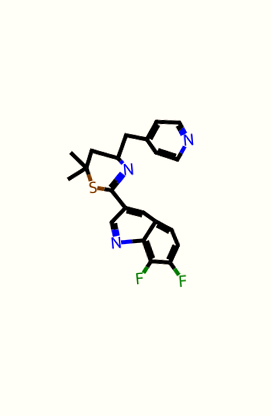 CC1(C)CC(Cc2ccncc2)N=C(c2cnc3c(F)c(F)ccc3c2)S1